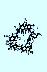 CCN[C@@H]1C[C@H](N)[C@@H](OC2OC(CN)=CCC2N)[C@H](O)[C@H]1O[C@H]1OC[C@](C)(O)[C@H](NC)[C@H]1O.CN[C@@H]1[C@H](O[C@H]2[C@H](O[C@H]3[C@H](O)[C@@H](O)[C@H](NC(=N)N)[C@@H](O)[C@@H]3NC(=N)N)O[C@@H](C)[C@]2(O)C=O)O[C@@H](CO)[C@H](O)[C@H]1O